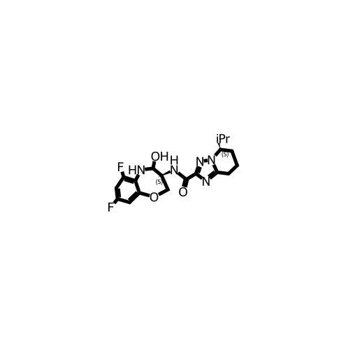 CC(C)[C@@H]1CCCc2nc(C(=O)N[C@H]3COc4cc(F)cc(F)c4NC3O)nn21